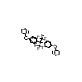 FC(F)(F)C(c1ccc(OC2CCCO2)cc1)(c1ccc(OC2CCCO2)cc1)C(F)(F)F